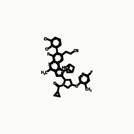 Cc1cc(F)ncc1OC1CC(c2cc3c(C)nc4c(F)c(-c5cccc(Cl)c5Cl)c(CCC#N)cc4c3n2C2C3CNC2C3)N(C(=O)C2CC2)C1